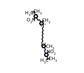 Cc1c[n+](CCCCCCCCCC[n+]2ccc(/C=C/c3ccc(N(C)C)cc3[N+](=O)[O-])c(C)c2)ccc1/C=C/c1ccc(N(C)C)cc1[N+](=O)[O-]